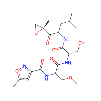 COCC(NC(=O)c1cc(C)on1)C(=O)N[C@@H](CO)C(=O)NC(CC(C)C)C(=O)[C@@]1(C)CO1